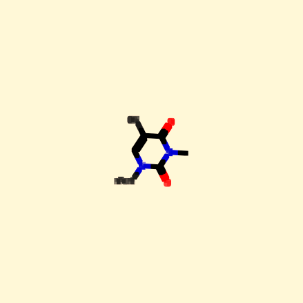 CCCCCn1cc(N=O)c(=O)n(C)c1=O